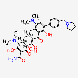 CN(C)c1cc(-c2ccc(CN3CCCC3)cc2)c(O)c2c1C[C@H]1C[C@@H]3[C@@H](N(C)C)C(O)=C(C(N)=O)C(=O)[C@@]3(O)C(O)=C1C2=O